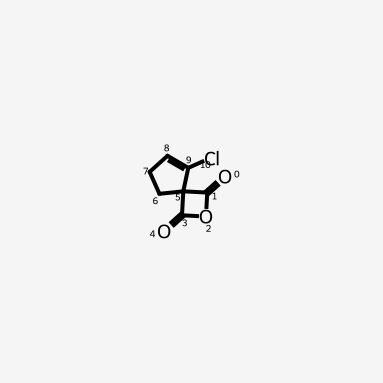 O=C1OC(=O)C12CCC=C2Cl